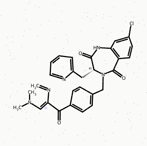 C=N/C(=C\N(C)C)C(=O)c1ccc(CN2C(=O)c3ccc(Cl)cc3NC(=O)[C@H]2Cc2ccccn2)cc1